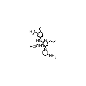 CCCc1cc(N2CCC[C@@H](N)C2)nc(Nc2ccc(Cl)c(N)c2)n1.Cl.Cl